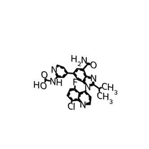 CC(C)c1nc2c(C(N)=O)cc(-c3ccnc(NC(=O)O)c3)cc2n1-c1ccnc2c(Cl)ccc(F)c12